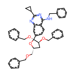 c1ccc(CNc2nc(C3CC3)nc3cc([C@]4(OCc5ccccc5)O[C@@H](COCc5ccccc5)C[C@@H]4OCc4ccccc4)ccc23)cc1